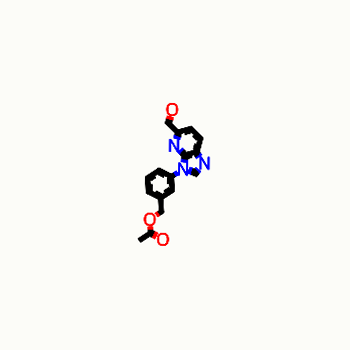 CC(=O)OCc1cccc(-n2cnc3ccc(C=O)nc32)c1